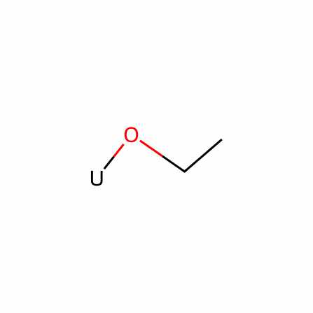 CC[O][U]